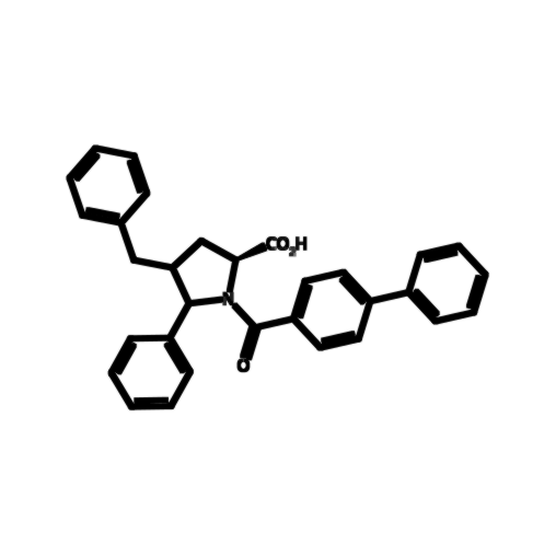 O=C(O)[C@@H]1CC(Cc2ccccc2)C(c2ccccc2)N1C(=O)c1ccc(-c2ccccc2)cc1